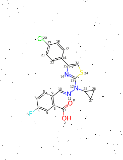 O=C(O)c1cc(F)ccc1C=NN(c1nc(-c2ccc(Cl)cc2)cs1)C1CC1